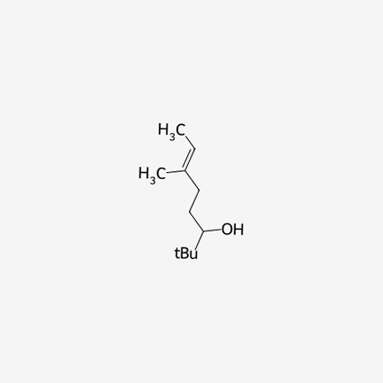 C/C=C(\C)CCC(O)C(C)(C)C